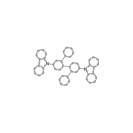 c1ccc(-c2cc(-n3c4ccccc4c4ccccc43)ccc2-c2ccc(-n3c4ccccc4c4ccccc43)cc2-c2ccccc2)cc1